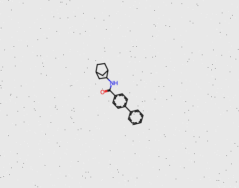 O=C(NC1CC2CCC1C2)c1ccc(-c2ccccc2)cc1